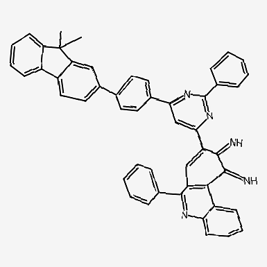 CC1(C)c2ccccc2-c2ccc(-c3ccc(-c4cc(C5=Cc6c(-c7ccccc7)nc7ccccc7c6C(=N)C5=N)nc(-c5ccccc5)n4)cc3)cc21